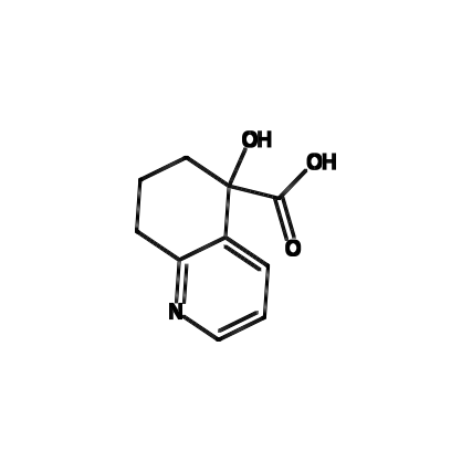 O=C(O)C1(O)CCCc2ncccc21